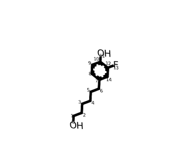 OCCCCCCc1ccc(O)c(F)c1